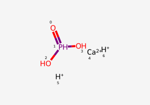 O=[PH](O)O.[Ca+2].[H+].[H+]